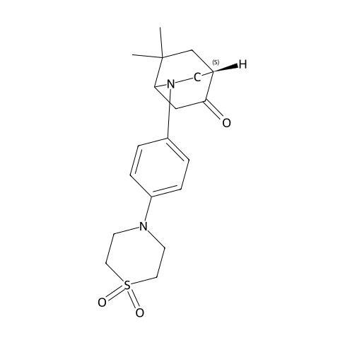 CC1(C)C[C@H]2CN(c3ccc(N4CCS(=O)(=O)CC4)cc3)C1CC2=O